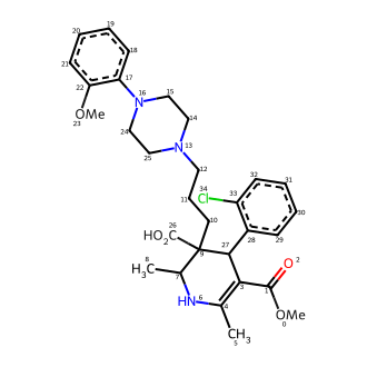 COC(=O)C1=C(C)NC(C)C(CCCN2CCN(c3ccccc3OC)CC2)(C(=O)O)C1c1ccccc1Cl